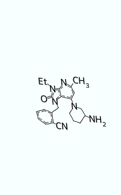 CCn1c(=O)n(Cc2ccccc2C#N)c2c(N3CCCC(N)C3)cc(C)nc21